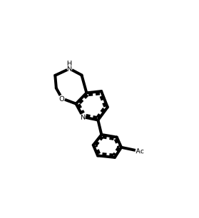 CC(=O)c1cccc(-c2ccc3c(n2)OCCNC3)c1